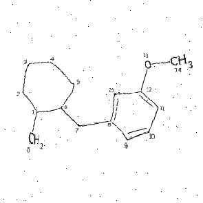 [CH2]C1CCCCC1Cc1cccc(OC)c1